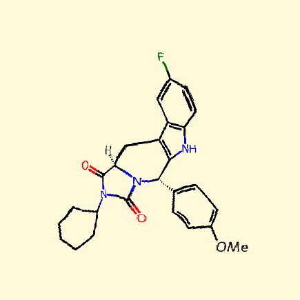 COc1ccc([C@H]2c3[nH]c4ccc(F)cc4c3C[C@@H]3C(=O)N(C4CCCCC4)C(=O)N23)cc1